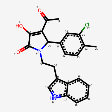 CC(=O)C1=C(O)C(=O)N(CCc2c[nH]c3ccccc23)C1c1ccc(C)c(Cl)c1